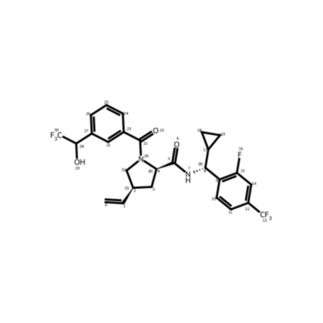 C=C[C@@H]1C[C@H](C(=O)N[C@@H](c2ccc(C(F)(F)F)cc2F)C2CC2)N(C(=O)c2cccc(C(O)C(F)(F)F)c2)C1